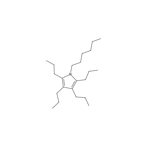 CCCCCCn1c(CCC)c(CCC)c(CCC)c1CCC